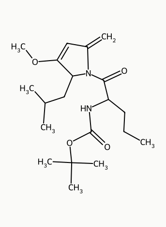 C=C1C=C(OC)C(CC(C)C)N1C(=O)C(CCC)NC(=O)OC(C)(C)C